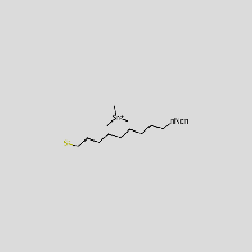 CCCCCCCCCCCCCCCCCC[S-].[CH3][Sn+]([CH3])[CH3]